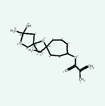 C=C(C)C(=O)OC1CCCC(CC)(OC2(C)COC(C)(O)C2)CC1